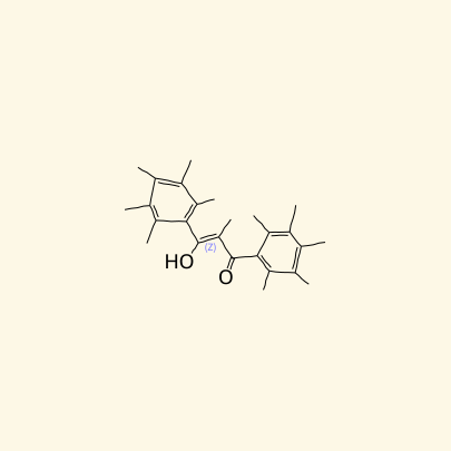 C/C(C(=O)c1c(C)c(C)c(C)c(C)c1C)=C(/O)c1c(C)c(C)c(C)c(C)c1C